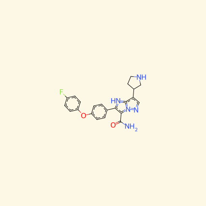 NC(=O)c1c(-c2ccc(Oc3ccc(F)cc3)cc2)[nH]c2c(C3CCNC3)cnn12